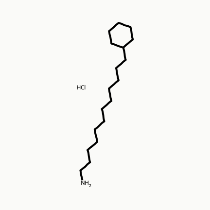 Cl.NCCCCCCCCCCCCC1CCCCC1